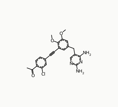 COc1cc(Cc2cnc(N)nc2N)cc(C#Cc2ccc(C(C)=O)c(Cl)c2)c1OC